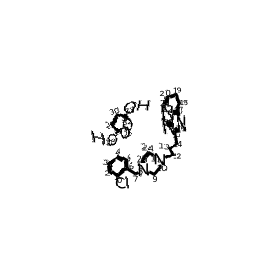 Clc1ccccc1CN1CCN(CCCc2nc3ccccn3n2)CC1.O=C(O)/C=C\C(=O)O